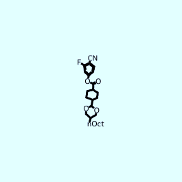 CCCCCCCCC1COC(C2CCC(C(=O)Oc3ccc(C#N)c(F)c3)CC2)OC1